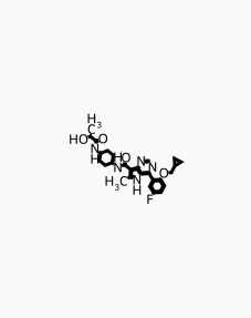 Cc1[nH]c2c(-c3cc(F)ccc3OCC3CC3)ncnc2c1C(=O)NC1CCC(NC(=O)[C@H](C)O)CC1